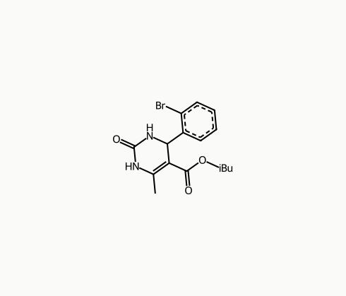 CCC(C)OC(=O)C1=C(C)NC(=O)NC1c1ccccc1Br